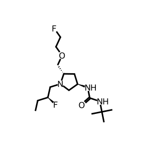 CC[C@H](F)CN1C[C@H](NC(=O)NC(C)(C)C)C[C@H]1COCCF